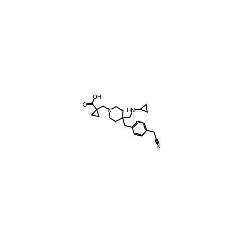 N#CCc1ccc(CC2(CNC3CC3)CCN(CC3(C(=O)O)CC3)CC2)cc1